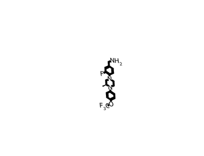 C[C@H]1CN(c2ccc(CN)cc2F)CCN1c1ccc(OC(F)(F)F)cc1